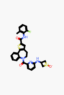 Cc1cccc(F)c1NC(=O)c1cc2c(s1)-c1ccccc1N(C(=O)c1cccc(NC3C[S+]([O-])C3)n1)CC2